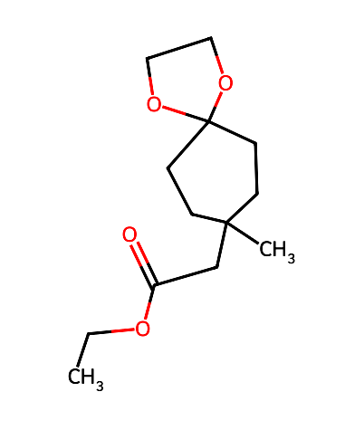 CCOC(=O)CC1(C)CCC2(CC1)OCCO2